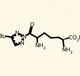 CC(C)(C)c1cnn(C(=O)C(N)CCC[C@H](N)C(=O)O)n1